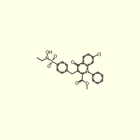 CCN(O)S(=O)(=O)c1ccc(Cc2c(C(=O)OC)n(-c3ccccc3)c3cc(Cl)ccc3c2=O)cc1